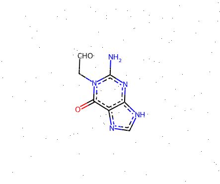 Nc1nc2[nH]cnc2c(=O)n1C[C]=O